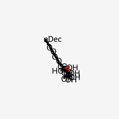 CCCCCCCCCCCCCCOCCOCCOCCOCCO[C@@H]1O[C@H](CO)[C@@H](O[C@@H]2O[C@H](CO)[C@H](O)[C@H](O)[C@H]2O)[C@H](O)[C@H]1O